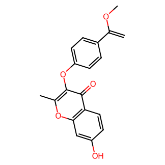 C=C(OC)c1ccc(Oc2c(C)oc3cc(O)ccc3c2=O)cc1